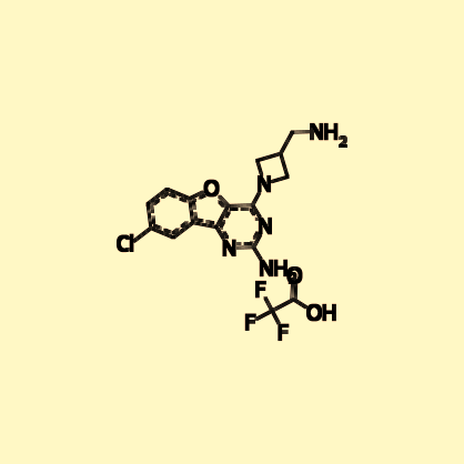 NCC1CN(c2nc(N)nc3c2oc2ccc(Cl)cc23)C1.O=C(O)C(F)(F)F